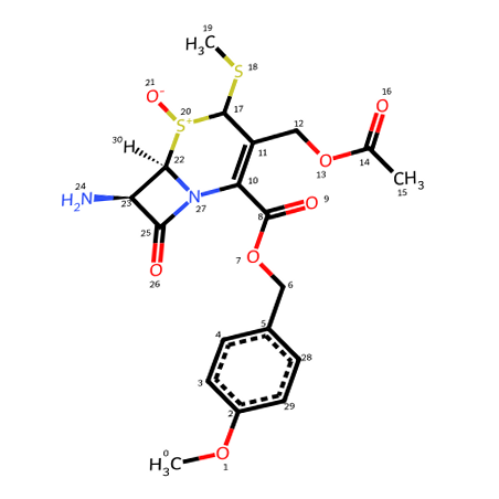 COc1ccc(COC(=O)C2=C(COC(C)=O)C(SC)[S+]([O-])[C@@H]3[C@H](N)C(=O)N23)cc1